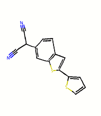 N#CC(C#N)c1ccc2cc(-c3cccs3)sc2c1